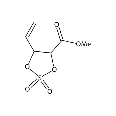 C=CC1OS(=O)(=O)OC1C(=O)OC